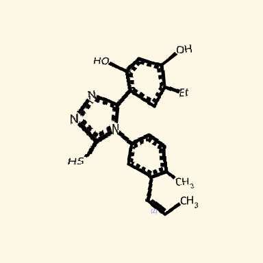 C/C=C\c1cc(-n2c(S)nnc2-c2cc(CC)c(O)cc2O)ccc1C